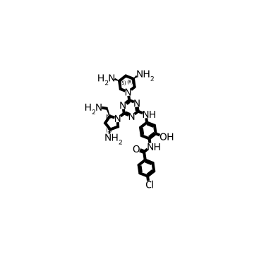 NC[C@@H]1C[C@H](N)CN1c1nc(Nc2ccc(NC(=O)c3ccc(Cl)cc3)c(O)c2)nc(N2C[C@H](N)C[C@H](N)C2)n1